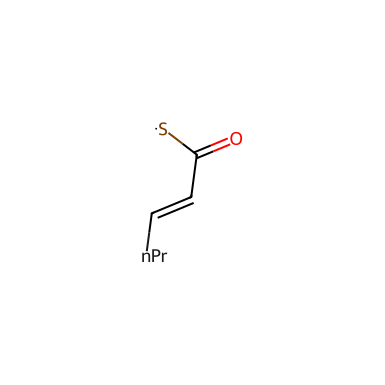 CCC/C=C/C(=O)[S]